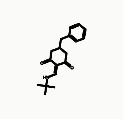 CC(C)(C)NC=C1C(=O)CC(Cc2ccccc2)CC1=O